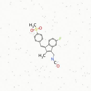 CC1=C(CN=C=O)c2cc(F)ccc2/C1=C\c1ccc(S(C)(=O)=O)cc1